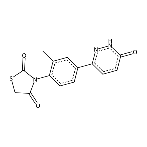 Cc1cc(-c2ccc(=O)[nH]n2)ccc1N1C(=O)CSC1=O